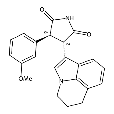 COc1cccc([C@H]2C(=O)NC(=O)[C@@H]2c2cn3c4c(cccc24)CCC3)c1